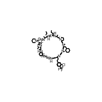 CCC[C@@H]1NC[C@H]([C@@H](C)CC)NC(C)[C@H](C)N2CCCC2=CN(C)C(CC2CCCCC2)=CN(C)C=CN=C(CCc2ccc(C(F)(F)F)c(Cl)c2)C=CNCCNCC2(CCCC2)NC(C)[C@H](C(C)C)N2C(C)[C@H](C(=O)N3CCCCC3)C2CNC1C